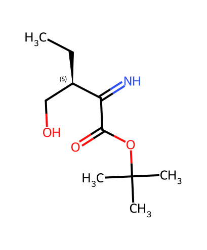 CC[C@H](CO)C(=N)C(=O)OC(C)(C)C